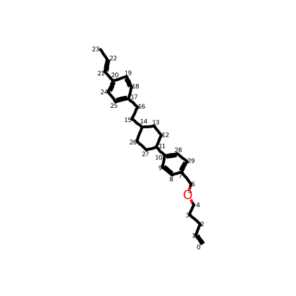 C=CCCCOCc1ccc(C2CCC(CCc3ccc(C=CC)cc3)CC2)cc1